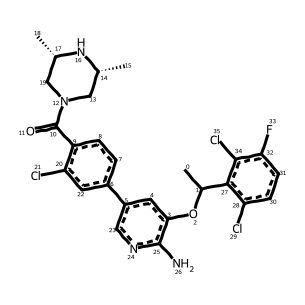 CC(Oc1cc(-c2ccc(C(=O)N3C[C@@H](C)N[C@@H](C)C3)c(Cl)c2)cnc1N)c1c(Cl)ccc(F)c1Cl